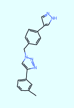 Cc1cccc(-c2cn(Cc3ccc(-c4cn[nH]c4)cc3)nn2)c1